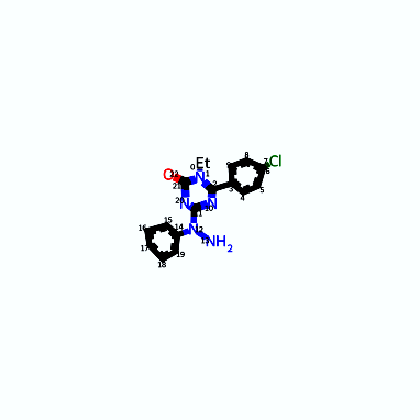 CCn1c(-c2ccc(Cl)cc2)nc(N(N)c2ccccc2)nc1=O